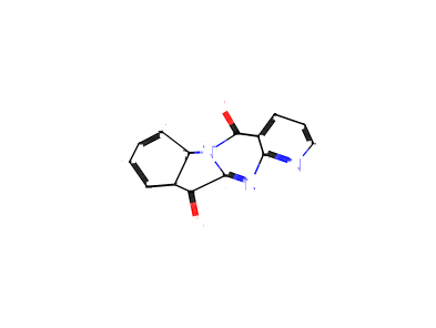 O=C1c2nc3ncccc3c(=O)n2C2C=CC=CC12